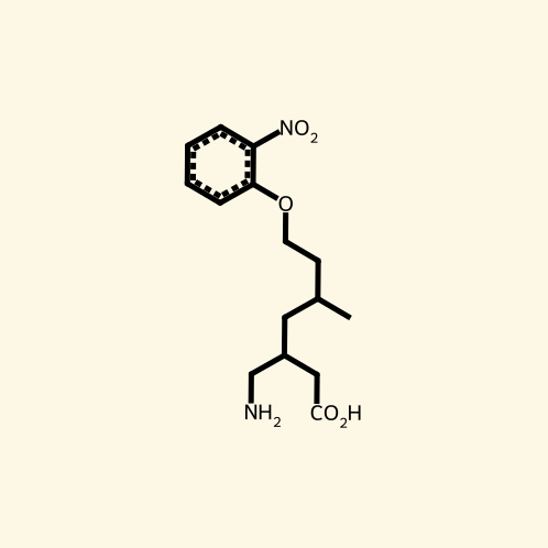 CC(CCOc1ccccc1[N+](=O)[O-])CC(CN)CC(=O)O